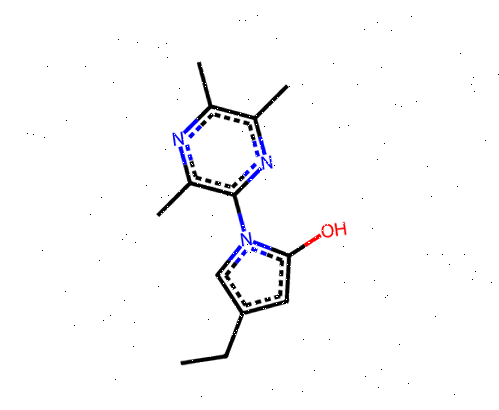 CCc1cc(O)n(-c2nc(C)c(C)nc2C)c1